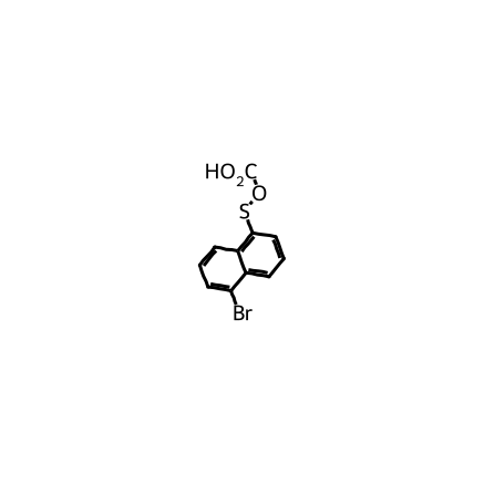 O=C(O)OSc1cccc2c(Br)cccc12